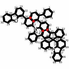 c1ccc(-c2ccccc2-c2ccccc2N(c2ccc(-c3cccc4c3oc3ccccc34)cc2)c2ccccc2-c2ccc3c(c2)C2(c4ccccc4-3)c3ccccc3-n3c4ccccc4c4cccc2c43)cc1